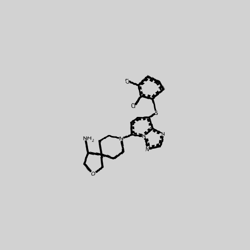 NC1COCC12CCN(c1ccc(Sc3cccc(Cl)c3Cl)c3ncnn13)CC2